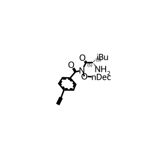 C#Cc1ccc(C(=O)N(OCCCCCCCCCC)C(=O)[C@@H](N)[C@@H](C)CC)cc1